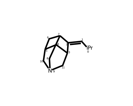 CC(C)C=C1C2CC3CC1CN(C3)C2